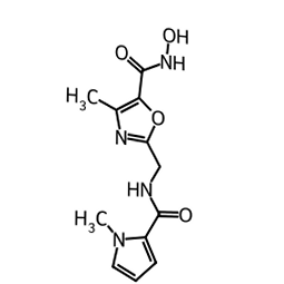 Cc1nc(CNC(=O)c2cccn2C)oc1C(=O)NO